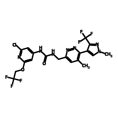 Cc1cc(CNC(=O)Nc2cc(Cl)nc(OCC(F)(F)F)c2)nnc1-c1cn(C)nc1C(F)(F)F